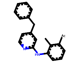 CC(=O)c1cccc(Nc2cc(Cc3ccccc3)ccn2)c1C